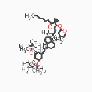 CCCCCCC(=O)C1(C(/C=C/C(C)(C)[C@H]2CC[C@H]3/C(=C/C=C4C[C@@H](O[Si](C)(C)C(C)(C)C)C[C@H](O[Si](C)(C)C(C)(C)C)C4)CCC[C@]23C)OC2CCCCO2)CC1